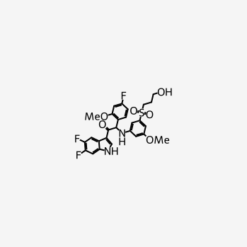 COc1cc(NC(C(=O)c2c[nH]c3cc(F)c(F)cc23)c2ccc(F)cc2OC)cc(S(=O)(=O)CCCO)c1